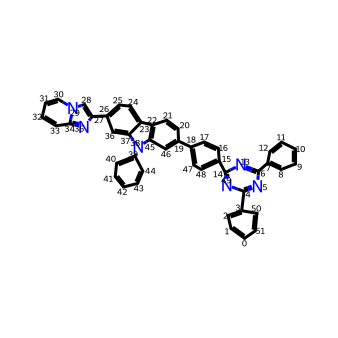 c1ccc(-c2nc(-c3ccccc3)nc(-c3ccc(-c4ccc5c6ccc(-c7cn8ccccc8n7)cc6n(-c6ccccc6)c5c4)cc3)n2)cc1